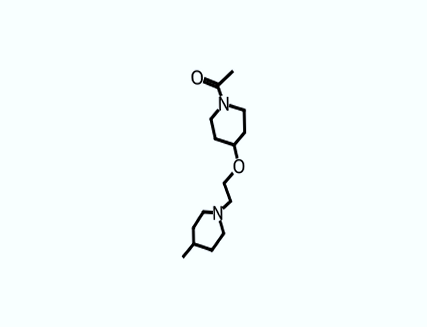 CC(=O)N1CCC(OCCN2CCC(C)CC2)CC1